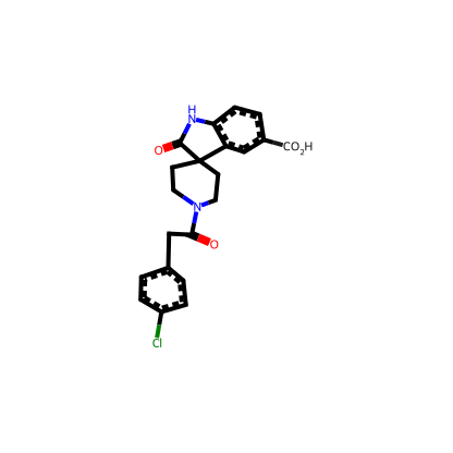 O=C(O)c1ccc2c(c1)C1(CCN(C(=O)Cc3ccc(Cl)cc3)CC1)C(=O)N2